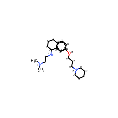 CN(C)CCN[C@H]1CCCc2ccc(OCCCN3CCCCC3)cc21